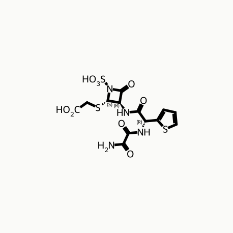 NC(=O)C(=O)N[C@H](C(=O)N[C@@H]1C(=O)N(S(=O)(=O)O)[C@H]1SCC(=O)O)c1cccs1